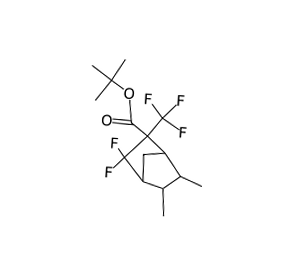 CC1C(C)C2CC1C(F)(F)C2(C(=O)OC(C)(C)C)C(F)(F)F